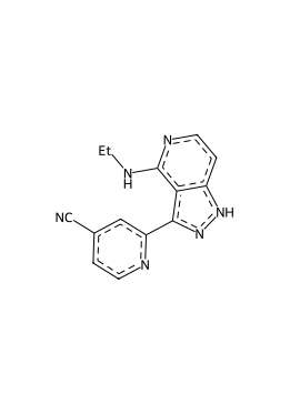 CCNc1nccc2[nH]nc(-c3cc(C#N)ccn3)c12